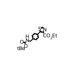 CCOC(=O)c1ncsc1-c1ccc(CNC(=O)OC(C)(C)C)cc1